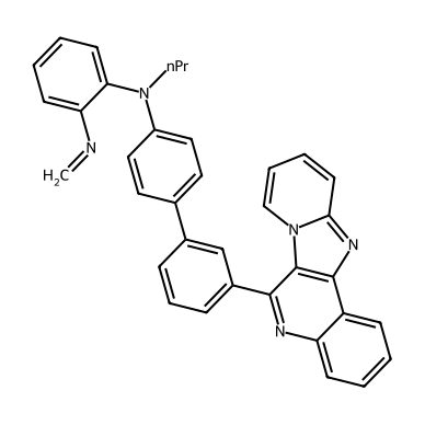 C=Nc1ccccc1N(CCC)c1ccc(-c2cccc(-c3nc4ccccc4c4nc5ccccn5c34)c2)cc1